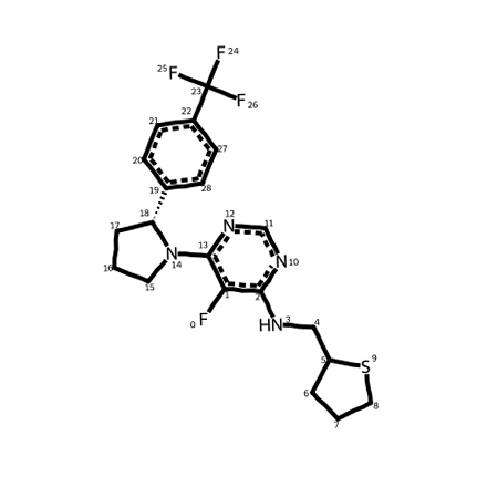 Fc1c(NCC2CCCS2)ncnc1N1CCC[C@@H]1c1ccc(C(F)(F)F)cc1